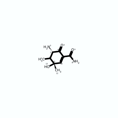 CC1[C@H](N)C(=O)C(C(N)=O)=C[C@]1(C)O